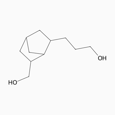 OCCCC1CC2CC(CO)C1C2